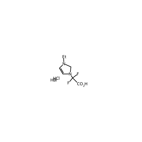 Br.CCN1C=CN(C(F)(F)C(=O)O)C1.Cl